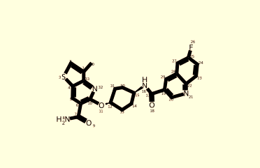 Cc1csc2cc(C(N)=O)c(O[C@H]3CC[C@H](NC(=O)c4cnc5ccc(F)cc5c4)CC3)nc12